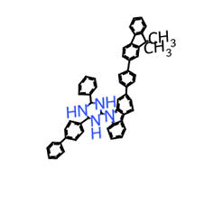 CC1(C)c2ccccc2-c2ccc(-c3ccc(-c4ccc5c6ccccc6n(C6NC(c7ccccc7)NC(c7ccc(-c8ccccc8)cc7)N6)c5c4)cc3)cc21